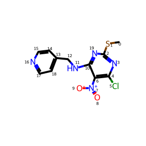 CSc1nc(Cl)c([N+](=O)[O-])c(NCc2ccncc2)n1